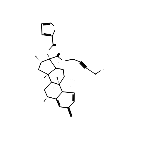 CC(C)COCC#CCSC(=O)[C@@]1(OC(=O)c2ccco2)[C@H](C)C[C@H]2[C@@H]3C[C@H](F)C4=CC(=O)C=C[C@]4(C)[C@@]3(F)[C@@H](O)C[C@@]21C